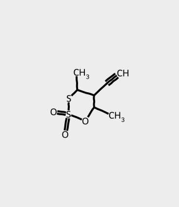 C#CC1C(C)OS(=O)(=O)SC1C